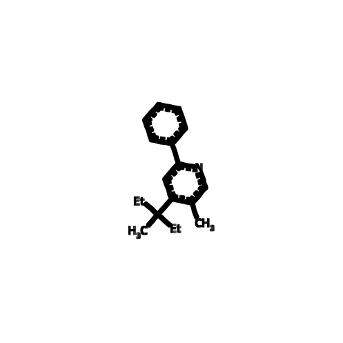 CCC(C)(CC)c1cc(-c2ccccc2)ncc1C